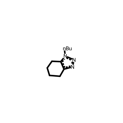 CCCCn1nnc2c1CCCC2